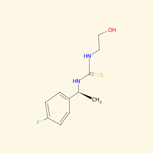 C[C@H](NC(=S)NCCO)c1ccc(F)cc1